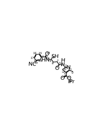 Cc1nc(NC(=O)CCC(S)NC(=O)c2cccc(C#N)c2)sc1C(=O)OC(C)C